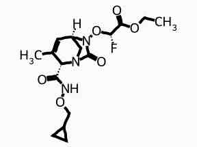 CCOC(=O)[C@H](F)ON1C(=O)N2C[C@H]1C=C(C)[C@H]2C(=O)NOCC1CC1